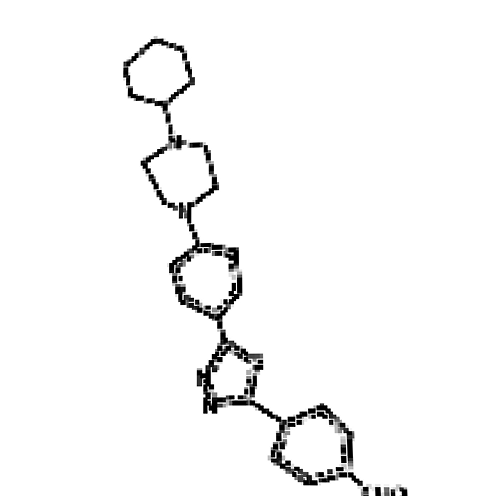 O=Cc1ccc(-c2nnc(-c3ccc(N4CCN(C5CCCCC5)CC4)cc3)s2)cc1